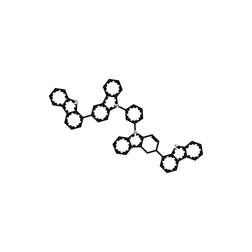 C1=CC(c2cccc3c2sc2ccccc23)Cc2c1n(-c1cccc(-n3c4ccccc4c4cc(-c5cccc6c5sc5ccccc56)ccc43)c1)c1ccccc21